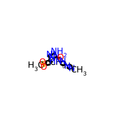 Cc1ccc(S(C)(=O)=O)cc1-c1cnc2c(N)nc(C(=O)Nc3ccc(N4CCN(C)CC4)cn3)cn12